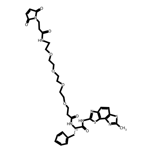 Cc1nc2c(ccc3nc(NC(=O)[C@H](Cc4ccccc4)NC(=O)CCOCCOCCOCCOCCNC(=O)CCN4C(=O)C=CC4=O)sc32)s1